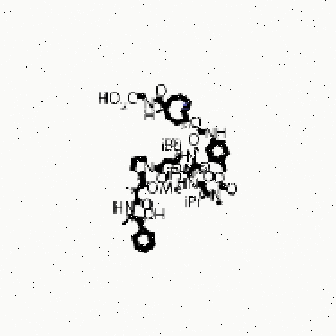 CC[C@H](C)[C@@H]([C@@H](CC(=O)N1CCC[C@H]1[C@H](OC)[C@@H](C)C(=O)N[C@H](C)[C@@H](O)c1ccccc1)OC)N(C)C(=O)[C@@H](NC(=O)[C@H](C(C)C)N(C)C(=O)OCc1ccc(NC(=O)O[C@H]2/C=C/CC[C@@](C)(C(=O)NCC(=O)O)CC2)cc1)C(C)C